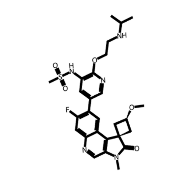 CO[C@H]1C[C@@]2(C1)C(=O)N(C)c1cnc3cc(F)c(-c4cnc(OCCNC(C)C)c(NS(C)(=O)=O)c4)cc3c12